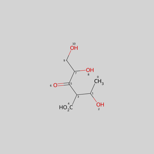 CC(O)C(C(=O)O)C(=O)C(O)CO